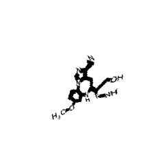 COc1ccc2c(c1)N/C(=C(/CO)N=N)Cc1c(C#N)ncn1-2